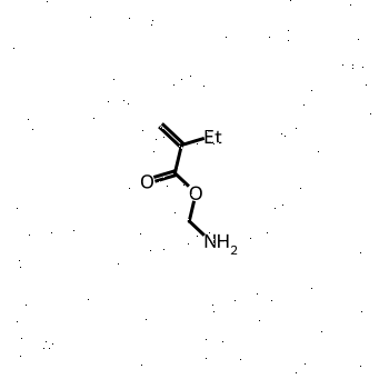 C=C(CC)C(=O)OCN